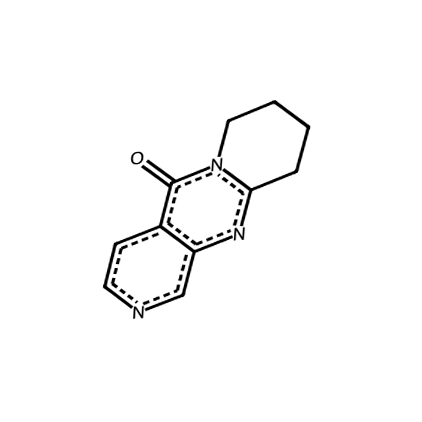 O=c1c2ccncc2nc2n1CCCC2